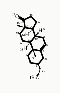 CC(C)(C)O[C@H]1CC[C@@]2(C)C(=CC[C@@H]3[C@@H]2CC[C@]2(C)C(=O)CC[C@@H]32)C1